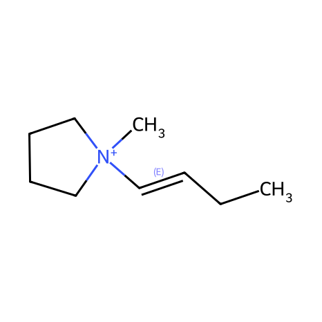 CC/C=C/[N+]1(C)CCCC1